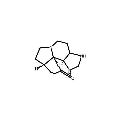 O=C1CC[C@@H]2CCN3CCC4NCN[C@H]4[C@]23C1